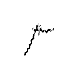 CCCCCCCCCCOC(=O)C(CS)NC(=O)CSCCS